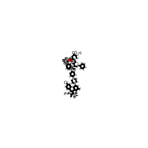 Cc1c(S(C)(=O)=O)c(-c2cc(F)cc(N3CCN(c4ccc(NS(=O)(=O)C(CSc5ccccc5)C(CN5CCC(C(=O)O)CC5CCCP(=O)(O)O)N(c5ccccc5)S(=O)(=O)C(F)(F)F)cc4)CC3)c2)c(-c2ccc(Cl)cc2)n1C(C)C